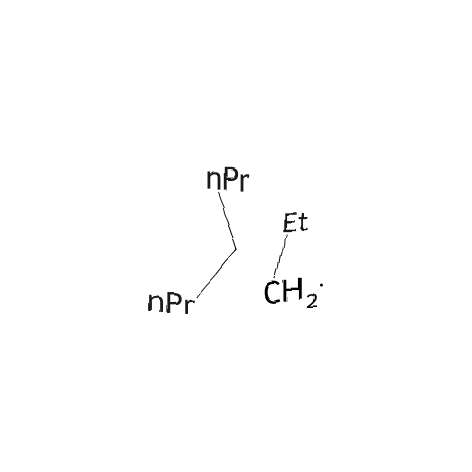 [CH2]CC.[CH2]CCCCCC